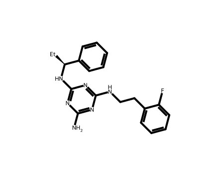 CC[C@H](Nc1nc(N)nc(NCCc2ccccc2F)n1)c1ccccc1